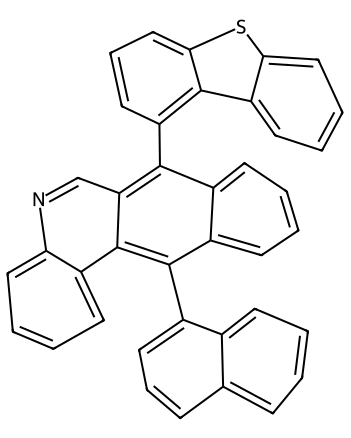 c1ccc2c(-c3c4ccccc4c(-c4cccc5sc6ccccc6c45)c4cnc5ccccc5c34)cccc2c1